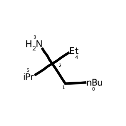 CCCCCC(N)(CC)C(C)C